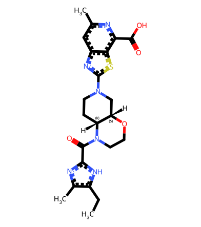 CCc1[nH]c(C(=O)N2CCO[C@H]3CN(c4nc5cc(C)nc(C(=O)O)c5s4)CC[C@H]32)nc1C